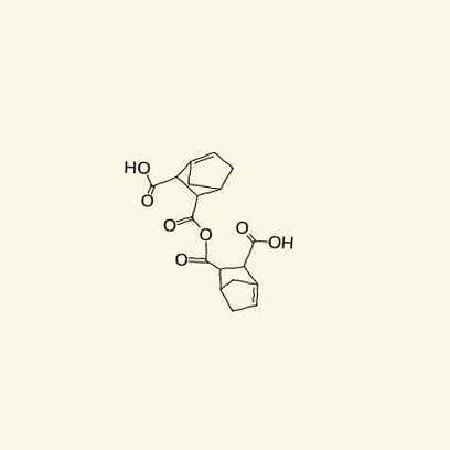 O=C(O)C1C2=CCC(C2)C1C(=O)OC(=O)C1C2CC=C(C2)C1C(=O)O